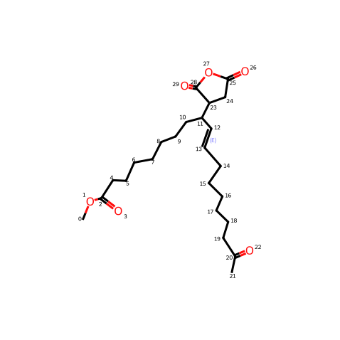 COC(=O)CCCCCCCC(/C=C/CCCCCCC(C)=O)C1CC(=O)OC1=O